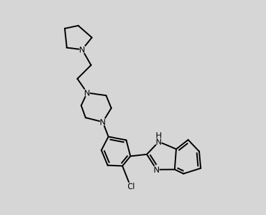 Clc1ccc(N2CCN(CCN3CCCC3)CC2)cc1-c1nc2ccccc2[nH]1